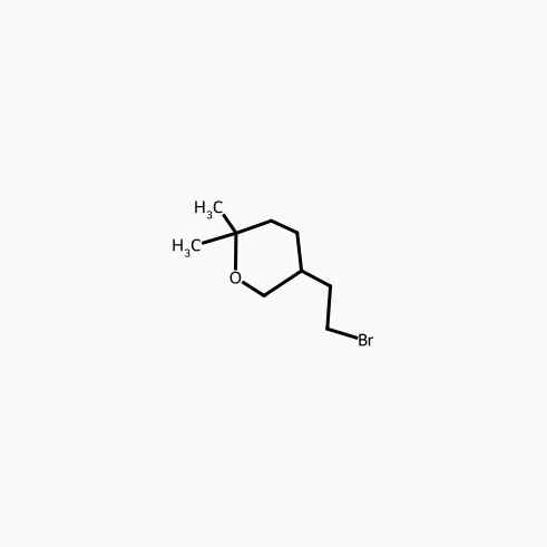 CC1(C)CCC(CCBr)CO1